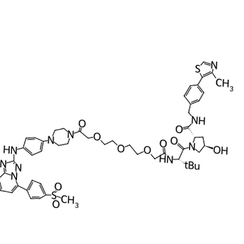 Cc1ncsc1-c1ccc(CNC(=O)[C@@H]2C[C@@H](O)CN2C(=O)[C@@H](NC(=O)COCCOCCOCC(=O)N2CCN(c3ccc(Nc4nc5cccc(-c6ccc(S(C)(=O)=O)cc6)n5n4)cc3)CC2)C(C)(C)C)cc1